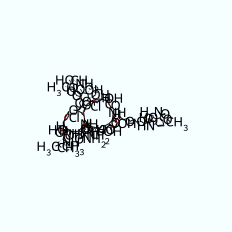 CN[C@H](CC(C)C)C(=O)N[C@H]1C(=O)C[C@@H](CC(N)=O)C(=O)N[C@H]2C(=O)C[C@@H](C(N)=O)c3ccc(O)c(c3)-c3c(O)cc(O)cc3[C@H](C(=O)CCCOCCOCC(=O)Nc3ccc(OC)c(C(N)=O)c3O)NC(=O)C[C@H](O)c3ccc(c(Cl)c3)Oc3cc2cc(c3OC2O[C@@H](CO)[C@@H](O)[C@H](O)[C@@H]2O[C@@H]2C[C@](C)(N)[C@H](O)[C@@H](C)O2)Oc2ccc(cc2Cl)[C@H]1O